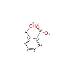 [O]C(=O)c1ccccc1CO